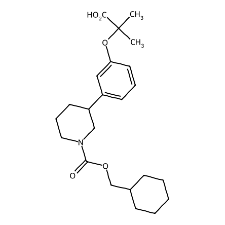 CC(C)(Oc1cccc(C2CCCN(C(=O)OCC3CCCCC3)C2)c1)C(=O)O